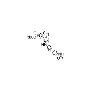 C=CC(=O)Nc1ccc(Cn2cc(Nc3ncc(Cl)c(-c4nn(C(=O)OC(C)(C)C)cc4Cl)n3)cn2)cc1